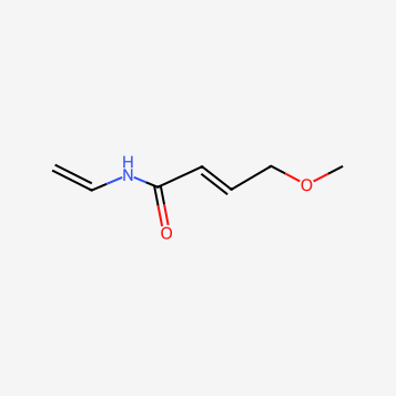 C=CNC(=O)/C=C/COC